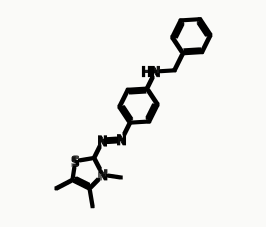 CC1=C(C)N(C)C(N=Nc2ccc(NCc3ccccc3)cc2)S1